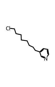 ClCCCCCCCCc1cccnc1